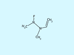 C=CN(C)N(C)F